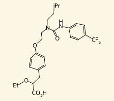 CCOC(Cc1ccc(OCCN(CCC(C)C)C(=O)Nc2ccc(C(F)(F)F)cc2)cc1)C(=O)O